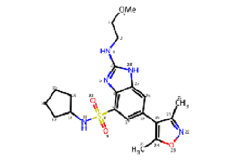 COCCNc1nc2c(S(=O)(=O)NC3CCCC3)cc(-c3c(C)noc3C)cc2[nH]1